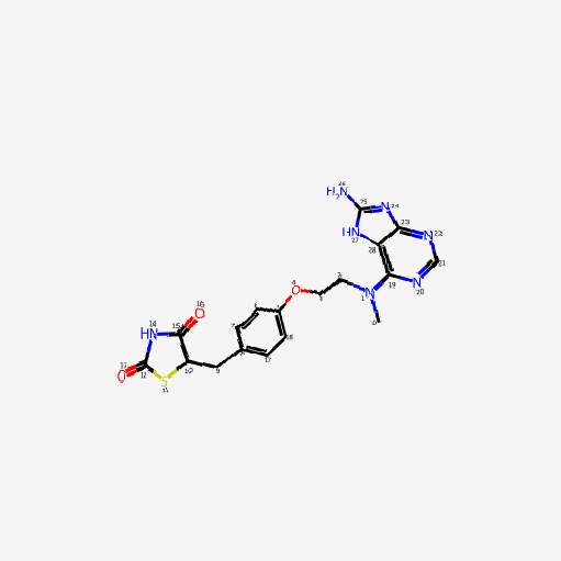 CN(CCOc1ccc(CC2SC(=O)NC2=O)cc1)c1ncnc2nc(N)[nH]c12